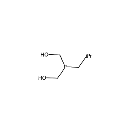 CC(C)CP(CO)CO